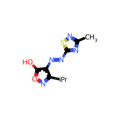 Cc1nsc(N=Nc2c(C(C)C)noc2O)n1